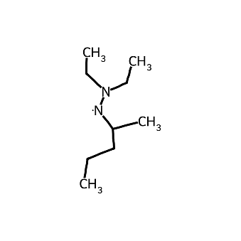 CCCC(C)[N]N(CC)CC